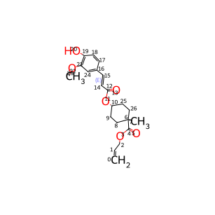 C=CCOC(=O)[C@]1(C)CC[C@H](OC(=O)/C=C/c2ccc(O)c(OC)c2)CC1